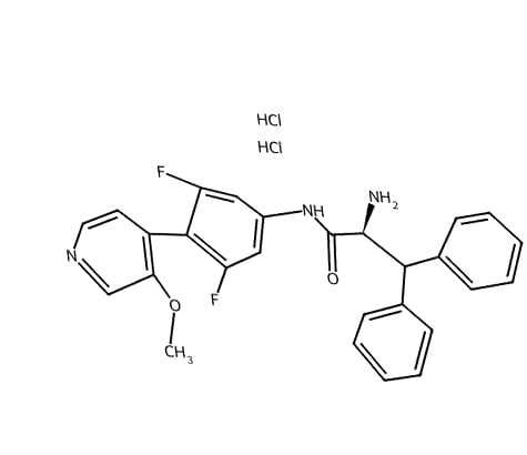 COc1cnccc1-c1c(F)cc(NC(=O)[C@@H](N)C(c2ccccc2)c2ccccc2)cc1F.Cl.Cl